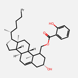 CC(C)CCC[C@@H](C)[C@H]1CC[C@H]2[C@@H]3CC=C4C[C@@H](O)CC(COC(=O)c5ccccc5O)[C@]4(C)[C@H]3CC[C@]12C